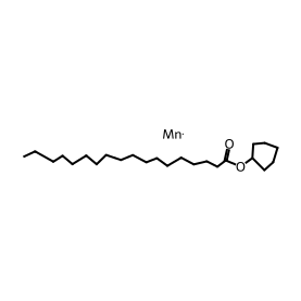 CCCCCCCCCCCCCCCCCC(=O)OC1CCCCC1.[Mn]